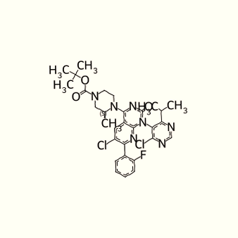 CC(C)c1ncnc(Cl)c1-n1c(=O)nc(N2CCN(C(=O)OC(C)(C)C)C[C@@H]2C)c2cc(Cl)c(-c3ccccc3F)nc21